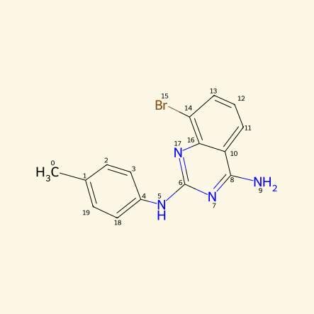 Cc1ccc(Nc2nc(N)c3cccc(Br)c3n2)cc1